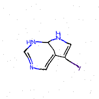 IC1=CNC2NC=NC=C12